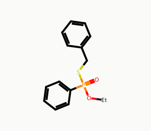 CCOP(=O)(SCc1ccccc1)c1ccccc1